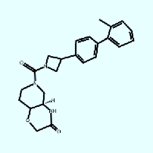 Cc1ccccc1-c1ccc(C2CN(C(=O)N3CCC4OCC(=O)N[C@@H]4C3)C2)cc1